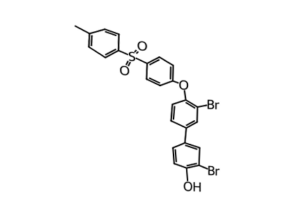 Cc1ccc(S(=O)(=O)c2ccc(Oc3ccc(-c4ccc(O)c(Br)c4)cc3Br)cc2)cc1